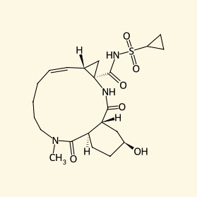 CN1CCCC/C=C\[C@@H]2C[C@@]2(C(=O)NS(=O)(=O)C2CC2)NC(=O)[C@@H]2C[C@@H](O)CC[C@H]2C1=O